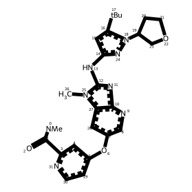 CNC(=O)c1cc(Oc2cnc3nc(Nc4cc(C(C)(C)C)n(C5CCOC5)n4)n(C)c3c2)ccn1